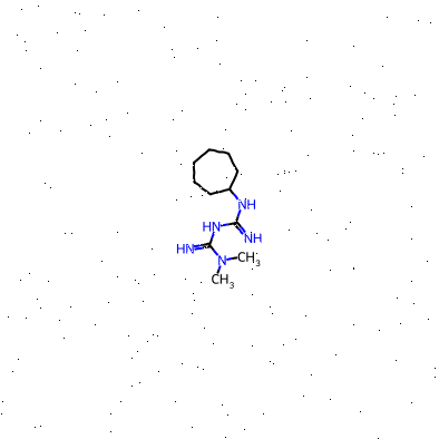 CN(C)C(=N)NC(=N)NC1CCCCCC1